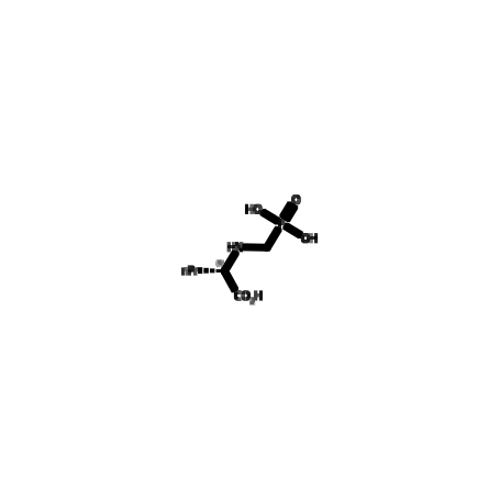 CCC[C@H](NCP(=O)(O)O)C(=O)O